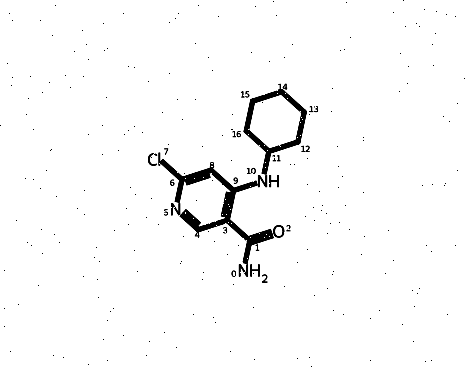 NC(=O)c1cnc(Cl)cc1NC1CCCCC1